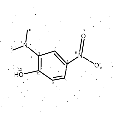 CN(C)c1cc([N+](=O)[O-])ccc1O